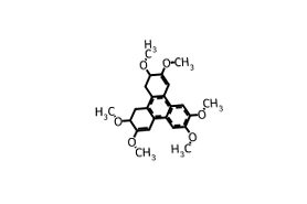 COC1=Cc2c(c3c(c4cc(OC)c(OC)cc24)C=C(OC)C(OC)C3)CC1OC